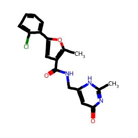 Cc1nc(=O)cc(CNC(=O)c2cc(-c3ccccc3Cl)oc2C)[nH]1